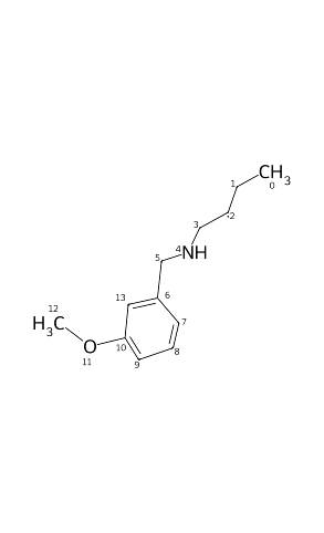 CC[CH]CNCc1cccc(OC)c1